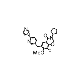 COc1c(Cc2ccc(-n3ccnc3)nc2)cc2c(c1F)OCN(C1CCCC1)C2=O